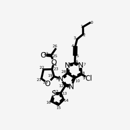 CCCCC#Cc1nc(Cl)c2nc(-c3cccs3)n(C3OCCC3OC(C)=O)c2n1